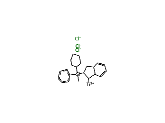 C[Si](c1ccccc1)(C1CCCCC1)C1CC2C=CC=CC2[CH]1[Ti+3].[Cl-].[Cl-].[Cl-]